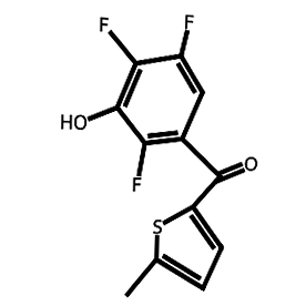 Cc1ccc(C(=O)c2cc(F)c(F)c(O)c2F)s1